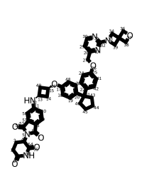 O=C1CCC(N2C(=O)c3ccc(N[C@H]4C[C@H](Oc5ccc(C6(c7ccc(OCc8ccnc(N9CC%10(COC%10)C9)n8)cc7)CCCC6)cc5)C4)cc3C2=O)C(=O)N1